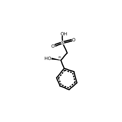 O=S(=O)(O)C[C@H](O)c1ccccc1